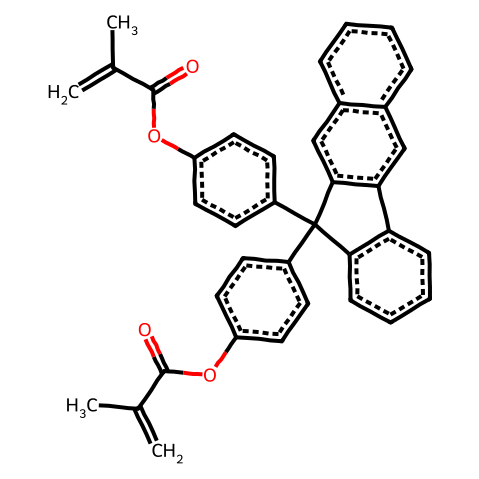 C=C(C)C(=O)Oc1ccc(C2(c3ccc(OC(=O)C(=C)C)cc3)c3ccccc3-c3cc4ccccc4cc32)cc1